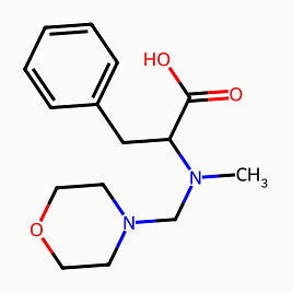 CN(CN1CCOCC1)C(Cc1ccccc1)C(=O)O